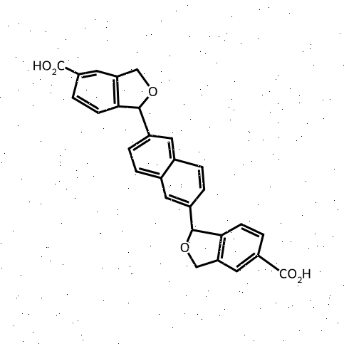 O=C(O)c1ccc2c(c1)COC2c1ccc2cc(C3OCc4cc(C(=O)O)ccc43)ccc2c1